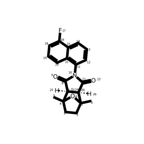 CC12CCC(C)(O1)[C@H]1C(=O)N(c3cccc4c(F)cccc34)C(=O)[C@H]12